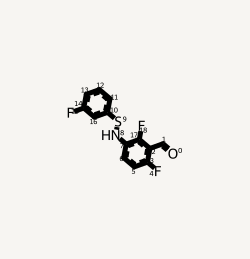 O=Cc1c(F)ccc(NSc2cccc(F)c2)c1F